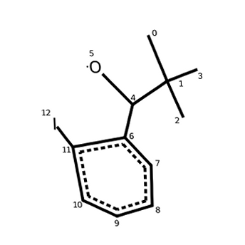 CC(C)(C)C([O])c1ccccc1I